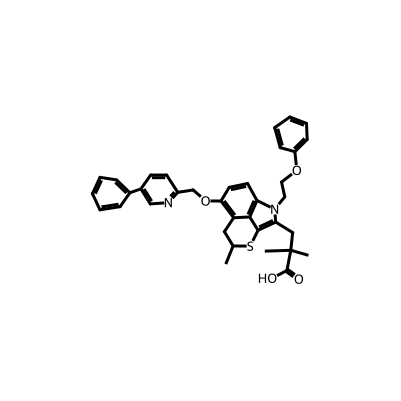 CC1Cc2c(OCc3ccc(-c4ccccc4)cn3)ccc3c2c(c(CC(C)(C)C(=O)O)n3CCOc2ccccc2)S1